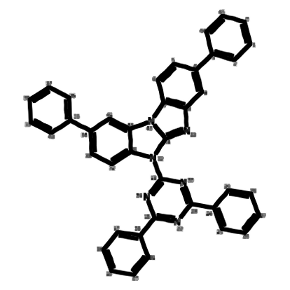 c1ccc(-c2ccc3c(c2)nc2n(-c4nc(-c5ccccc5)nc(-c5ccccc5)n4)c4ccc(-c5ccccc5)cc4n32)cc1